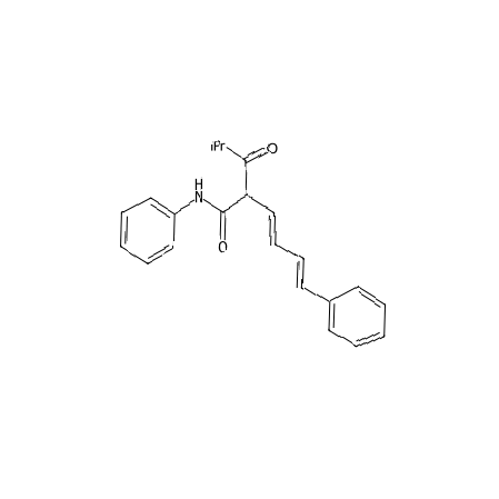 CC(C)C(=O)C(C=CC=Cc1ccccc1)C(=O)Nc1ccccc1